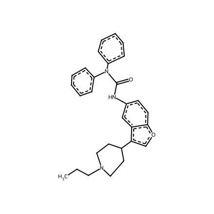 CCCN1CCC(c2coc3ccc(NC(=O)N(c4ccccc4)c4ccccc4)cc23)CC1